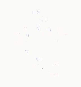 C[C@H](O/N=C(\C(=O)NC1C(=O)N2C(C(=O)O)=C(C[N+]3(CCCNC(=O)c4ccc(O)c(O)c4)CCCC3)CSC12)c1nc(N)sc1Cl)C(=O)O